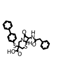 O=C(Cc1ccccc1)NC1C(=O)N2CC(Sc3ccc(-c4ccccc4)cc3)(C(=O)O)CS[C@H]12